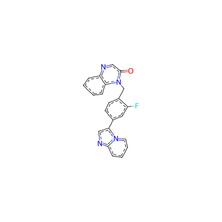 O=c1cnc2ccccc2n1Cc1ccc(-c2cnc3ccccn23)cc1F